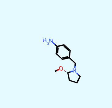 CO[C@H]1CCCN1Cc1ccc(N)cc1